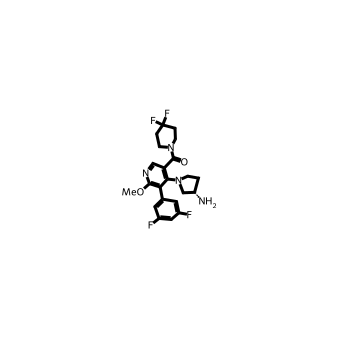 COc1ncc(C(=O)N2CCC(F)(F)CC2)c(N2CC[C@H](N)C2)c1-c1cc(F)cc(F)c1